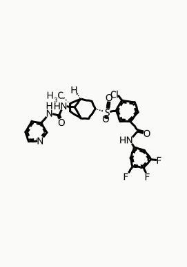 C[C@H]1CC2C[C@@H](S(=O)(=O)c3cc(C(=O)Nc4cc(F)c(F)c(F)c4)ccc3Cl)C[C@H]1C2NC(=O)Nc1cccnc1